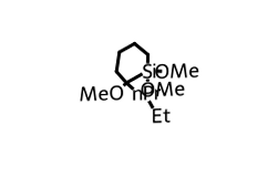 CCC.CCCC1(OC)CCCC[Si]1(OC)OC